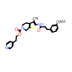 COc1cccc(CCC(=O)Nc2sc3c(c2C#N)CCN(C(=O)OCCc2ccncc2)C3)c1